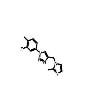 Cc1ccc(-n2cc(Cn3ccnc3C)nn2)cc1F